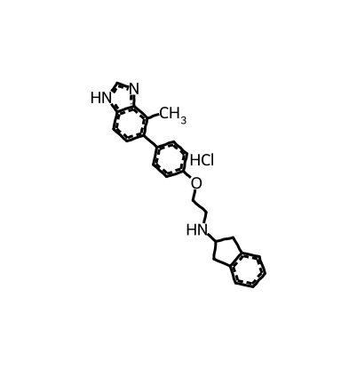 Cc1c(-c2ccc(OCCNC3Cc4ccccc4C3)cc2)ccc2[nH]cnc12.Cl